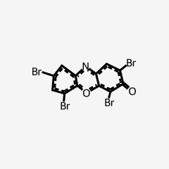 O=c1c(Br)cc2nc3cc(Br)cc(Br)c3oc-2c1Br